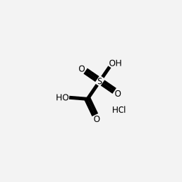 Cl.O=C(O)S(=O)(=O)O